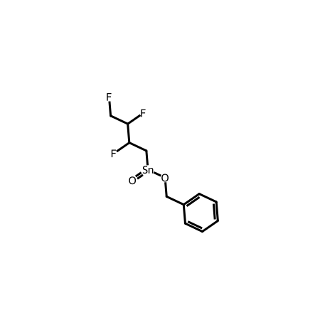 [O]=[Sn]([CH2]C(F)C(F)CF)[O]Cc1ccccc1